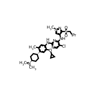 Cc1cc(Nc2ncc(Cl)c(Nc3cn(C)nc3S(=O)(=O)CC(C)C)n2)c(OC2CC2)cc1[C@H]1CC[C@@H](N(C)C)CC1